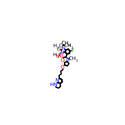 CN([C@H]1CC[C@H](OCCCCc2ccc3c(n2)NCCC3)C1)[C@@H](C(=O)O)c1cc(F)cc2c1n(C)c(=O)n2C(C)(C)C